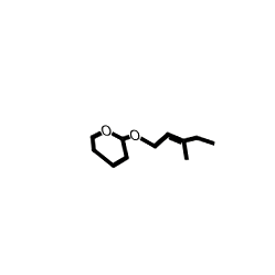 CC/C(C)=C/COC1CCCCO1